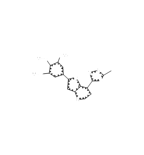 COc1cc(-c2cc3nccc(-c4nnc(C)o4)c3o2)cc(OC)c1OC